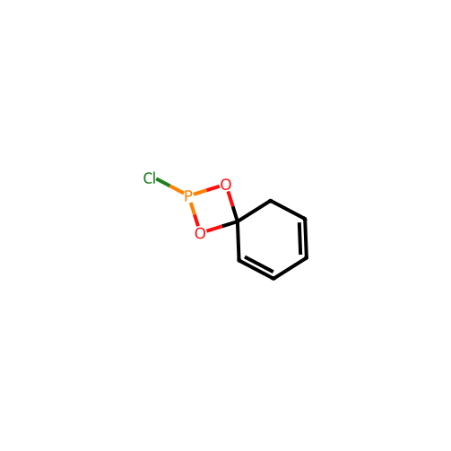 ClP1OC2(C=CC=CC2)O1